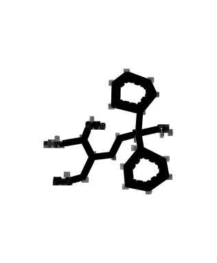 CCCCCCC(OC)C(CC[Si](C)(c1ccccc1)c1ccccc1)COC